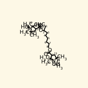 CCC(CCCCCCOC(=O)C1CC(C)(C)N(O)C1(C)C)OC(=O)C1CC(C)(C)N(O)C1(C)C